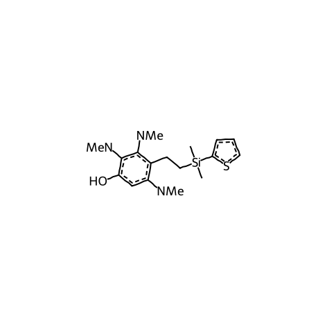 CNc1cc(O)c(NC)c(NC)c1CC[Si](C)(C)c1cccs1